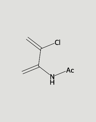 C=C(Cl)C(=C)NC(C)=O